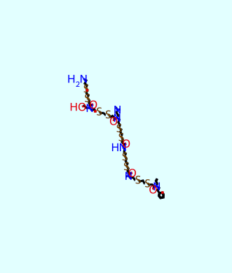 C=CCN(CCc1ccccc1)C(=O)CCSCCCSCCCN(C)C(=O)CCSCCCSCCCNC(=O)CCSCCCSCCCN(CCN(C)C)C(=O)CCSCCCSCCCN(CCO)C(=O)CCSCCCSCCCN